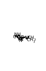 CCN(CC)CCOc1nncc2cc(C(N)=O)ccc12